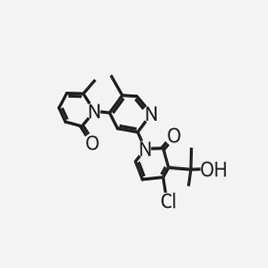 Cc1cnc(-n2ccc(Cl)c(C(C)(C)O)c2=O)cc1-n1c(C)cccc1=O